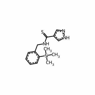 C[Si](C)(C)c1ccccc1CNC(=S)c1cn[nH]c1